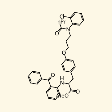 CCCC(=O)N(CCCOc1ccc(C[C@H](Nc2ccccc2C(=O)c2ccccc2)C(=O)OC)cc1)c1ccccc1Cl